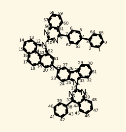 c1ccc(-c2ccc(-c3nc(-n4c5cccc6ccc7cc(-c8ccc9c(c8)c8ccccc8n9-c8nc(-c9ccccc9)c9ccccc9n8)cc4c7c65)nc4ccccc34)cc2)cc1